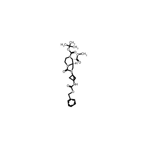 COC(=O)[C@@H]1[C@H]2CN(C34CC(NC(=O)OCc5ccccc5)(C3)C4)C(=O)N2CCN1C(=O)OC(C)(C)C